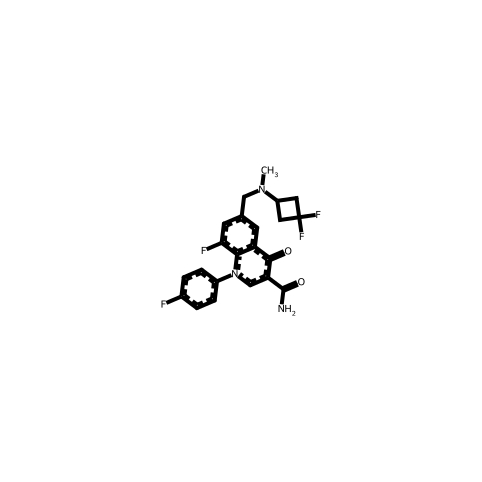 CN(Cc1cc(F)c2c(c1)c(=O)c(C(N)=O)cn2-c1ccc(F)cc1)C1CC(F)(F)C1